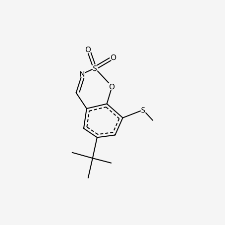 CSc1cc(C(C)(C)C)cc2c1OS(=O)(=O)N=C2